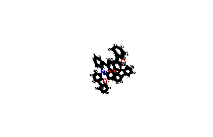 c1ccc(N(c2ccccc2-c2ccc3c(c2)-c2c(oc4ccccc24)C32c3ccccc3-c3ccccc32)c2cccc3c2oc2ccccc23)cc1